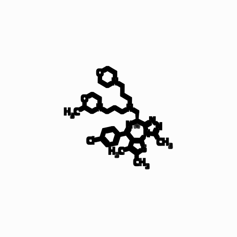 Cc1sc2c(c1C)C(c1ccc(Cl)cc1)=N[C@@H](CN(CCCN1CCOCC1)CCCN1CCOC(C)C1)c1nnc(C)n1-2